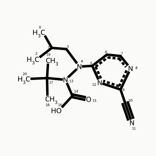 CC(C)CN(c1ccnc(C#N)n1)N(C(=O)O)C(C)(C)C